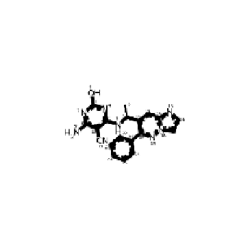 C[C@H](Nc1nc(O)nc(N)c1C#N)c1cc2nccn2nc1-c1ccccc1